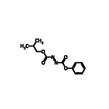 CC(C)COC(=O)/N=N/C(=O)Oc1ccccc1